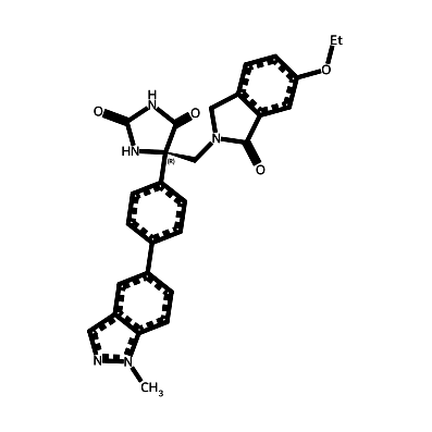 CCOc1ccc2c(c1)C(=O)N(C[C@@]1(c3ccc(-c4ccc5c(cnn5C)c4)cc3)NC(=O)NC1=O)C2